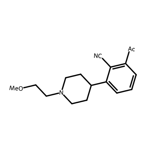 COCCN1CCC(c2cccc(C(C)=O)c2C#N)CC1